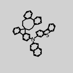 c1ccc2c(c1)CCC1(CCc3ccccc3-2)c2ccccc2-c2ccc(N(c3ccc4ccccc4c3)c3ccc4c(c3)sc3ccccc34)cc21